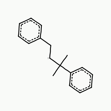 CC(C)([C]Cc1ccccc1)c1ccccc1